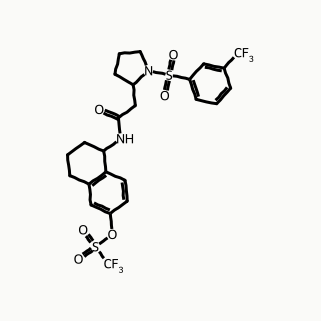 O=C(CC1CCCN1S(=O)(=O)c1cccc(C(F)(F)F)c1)NC1CCCc2cc(OS(=O)(=O)C(F)(F)F)ccc21